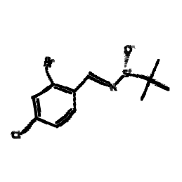 CC(C)(C)[S@@+]([O-])N=Cc1ccc(Cl)cc1Br